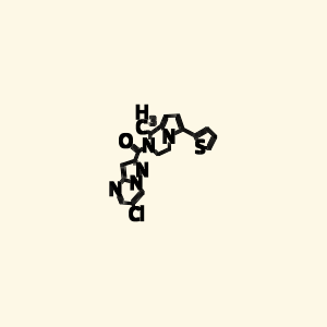 CC1c2ccc(-c3cccs3)n2CCN1C(=O)c1cc2ncc(Cl)cn2n1